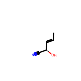 CC=C[C@@H](O)C#N